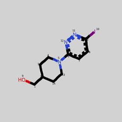 OCC1CCN(c2ccc(I)nn2)CC1